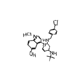 CC(C)(C)NC1CCN(c2ccnc3ccc(O)cc23)C(NCc2ccc(Cl)cc2)C1.Cl